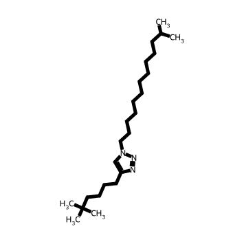 CC(C)CCCCCCCCCCCn1cc(CCCCC(C)(C)C)nn1